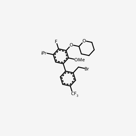 COc1c(-c2ccc(C(F)(F)F)cc2CBr)cc(C(C)C)c(F)c1OC1CCCCO1